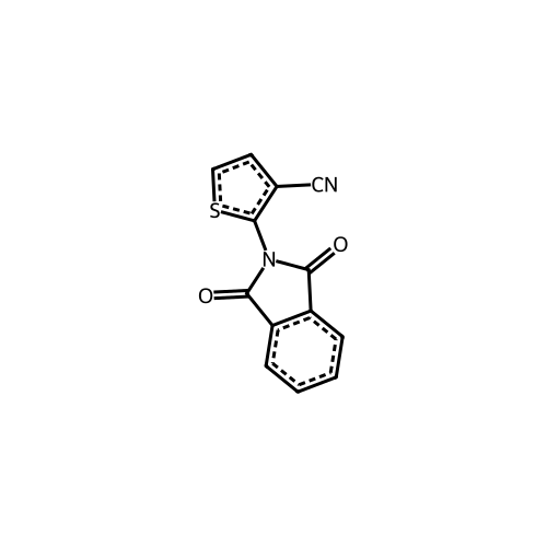 N#Cc1ccsc1N1C(=O)c2ccccc2C1=O